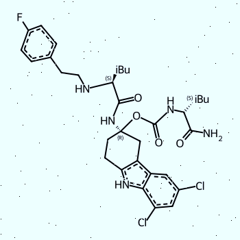 CCC(C)[C@H](NCCc1ccc(F)cc1)C(=O)N[C@@]1(OC(=O)NC(C(N)=O)[C@@H](C)CC)CCc2[nH]c3c(Cl)cc(Cl)cc3c2C1